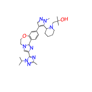 Cc1nc(-c2cn3c(n2)-c2ccc(-c4cnn(C)c4C4CCCCN4CC(C)(C)O)cc2OCC3)n(C(C)C)n1